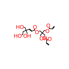 C=CC(=O)OCC(CO)(COC(=O)C=C)COC(=O)C=CC(CO)(CO)CCO